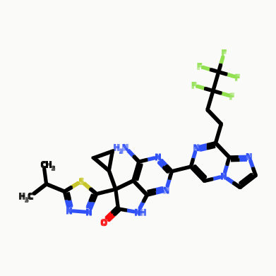 CC(C)c1nnc(C2(C3CC3)C(=O)Nc3nc(-c4cn5ccnc5c(CCC(F)(F)C(F)(F)F)n4)nc(N)c32)s1